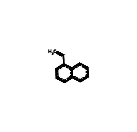 C=[C]c1cccc2ccccc12